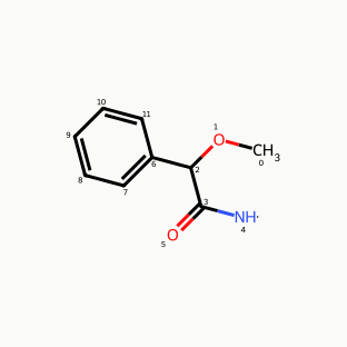 COC(C([NH])=O)c1ccccc1